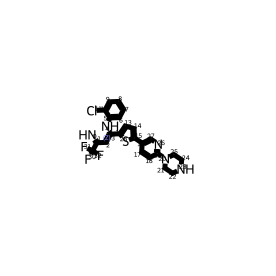 N=C(/C=C(\Nc1ccccc1Cl)c1ccc(-c2ccc(N3CCNCC3)nc2)s1)C(F)(F)F